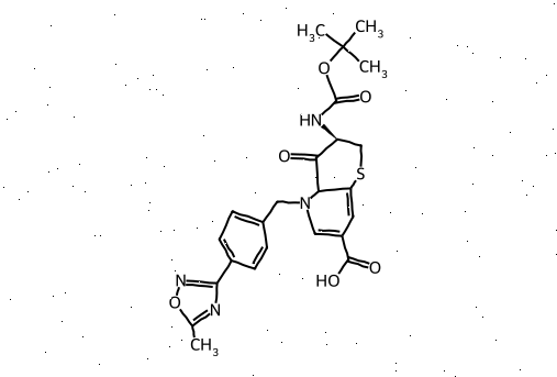 Cc1nc(-c2ccc(CN3C=C(C(=O)O)C=C4SC[C@H](NC(=O)OC(C)(C)C)C(=O)C43)cc2)no1